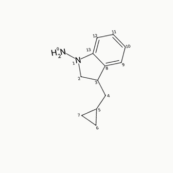 NN1CC(CC2CC2)c2ccccc21